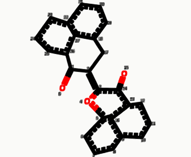 O=C1/C(=c2\oc3cccc4cccc(c2=O)c43)Cc2cccc3cccc1c23